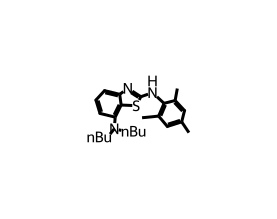 CCCCN(CCCC)c1cccc2nc(Nc3c(C)cc(C)cc3C)sc12